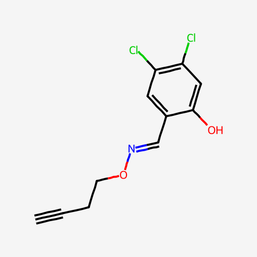 C#CCCON=Cc1cc(Cl)c(Cl)cc1O